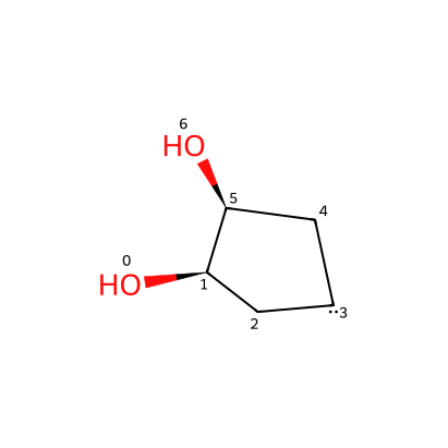 O[C@@H]1C[C]C[C@@H]1O